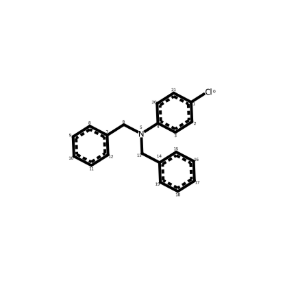 Clc1ccc(N(Cc2ccccc2)Cc2ccccc2)cc1